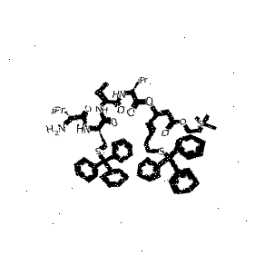 C/C=C(/NC(=O)[C@@H](CSC(c1ccccc1)(c1ccccc1)c1ccccc1)NC(=O)[C@H](N)C(C)C)C(=O)N[C@H](C(=O)OC(/C=C/CCSC(c1ccccc1)(c1ccccc1)c1ccccc1)CC(=O)OCC[Si](C)(C)C)C(C)C